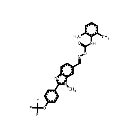 Cc1cccc(C)c1NC(=O)O/N=C/c1ccc2nc(-c3ccc(OC(F)(F)F)cc3)n(C)c2c1